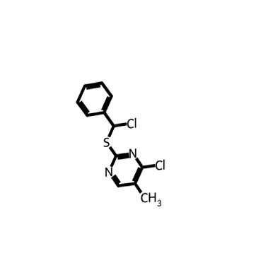 Cc1cnc(SC(Cl)c2ccccc2)nc1Cl